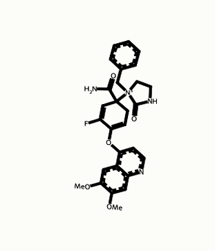 COc1cc2nccc(OC3=CCC(C(N)=O)([N+]4(Cc5ccccc5)CCNC4=O)C=C3F)c2cc1OC